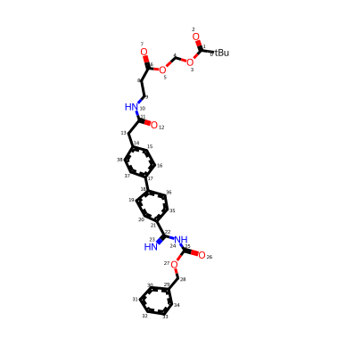 CC(C)(C)C(=O)OCOC(=O)CCNC(=O)Cc1ccc(-c2ccc(C(=N)NC(=O)OCc3ccccc3)cc2)cc1